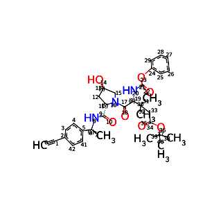 C#Cc1ccc([C@H](C)NC(=O)[C@@H]2C[C@@H](O)CN2C(=O)[C@H](NC(=O)Oc2ccccc2)C(C)(C)CC(=O)OC(C)(C)C)cc1